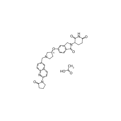 CC(=O)O.O=C1CCC(N2Cc3cc(O[C@H]4CCN(Cc5ccc6nc(N7CCCC7=O)ccc6c5)C4)ccc3C2=O)C(=O)N1